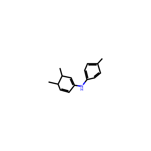 Cc1ccc(NC2=CC(C)C(C)C=C2)cc1